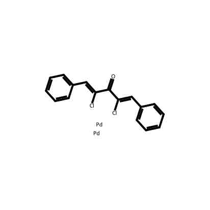 O=C(C(Cl)=Cc1ccccc1)C(Cl)=Cc1ccccc1.[Pd].[Pd]